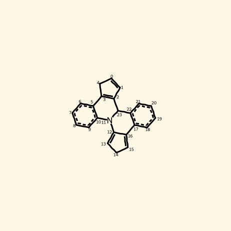 C1=CC2=C(C1)c1ccccc1N1C3=CCC=C3c3ccccc3C21